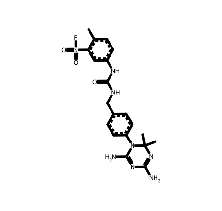 Cc1ccc(NC(=O)NCc2ccc(N3C(N)=NC(N)=NC3(C)C)cc2)cc1S(=O)(=O)F